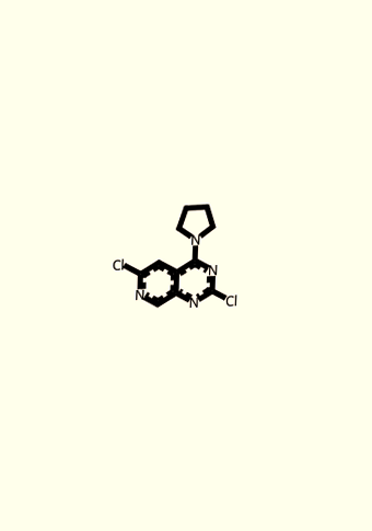 Clc1cc2c(N3CCCC3)nc(Cl)nc2cn1